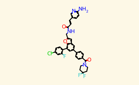 Nc1ccc(C=CC(=O)NCc2cc3cc(-c4ccc(C(=O)N5CCC(F)(F)CC5)cc4)cc(-c4ccc(Cl)cc4F)c3o2)cn1